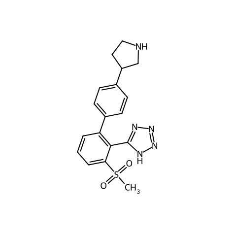 CS(=O)(=O)c1cccc(-c2ccc(C3CCNC3)cc2)c1-c1nnn[nH]1